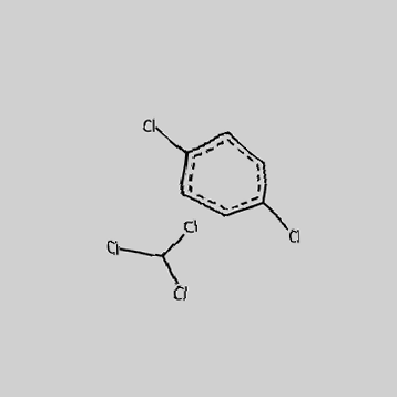 ClC(Cl)Cl.Clc1ccc(Cl)cc1